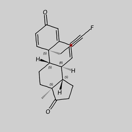 C[C@]12CC[C@H]3[C@@H](C=CC4=CC(=O)C=C[C@@]43CC#CF)[C@@H]1CCC2=O